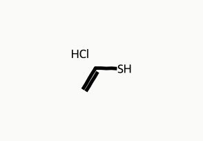 C=CS.Cl